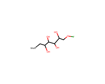 CNCC(O)C(O)C(O)C(O)COF